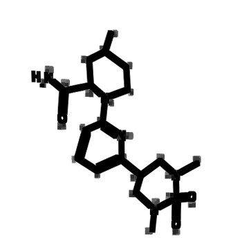 CC1CCN(c2[c]ccc(C3CN(C)S(=O)(=O)N(C)C3)n2)C(C(N)=O)C1